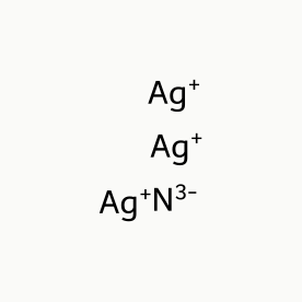 [Ag+].[Ag+].[Ag+].[N-3]